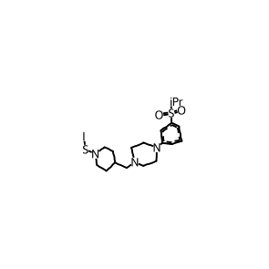 CC(C)S(=O)(=O)c1cccc(N2CCN(CC3CCN(SI)CC3)CC2)c1